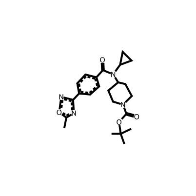 Cc1nc(-c2ccc(C(=O)N(C3CC3)C3CCN(C(=O)OC(C)(C)C)CC3)cc2)no1